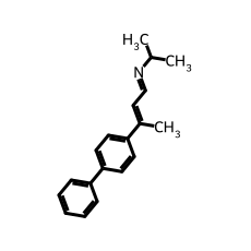 CC(=CC=NC(C)C)c1ccc(-c2ccccc2)cc1